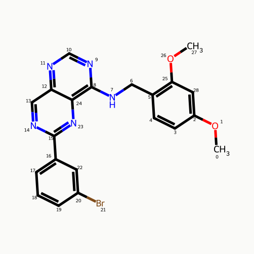 COc1ccc(CNc2ncnc3cnc(-c4cccc(Br)c4)nc23)c(OC)c1